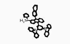 c1ccc([SiH2]c2ccc3c(-c4cc(-n5c6ccccc6c6ccccc65)cc(-n5c6ccccc6c6ccccc65)c4)c4ccccc4c(-c4ccc5ccccc5c4)c3c2)cc1